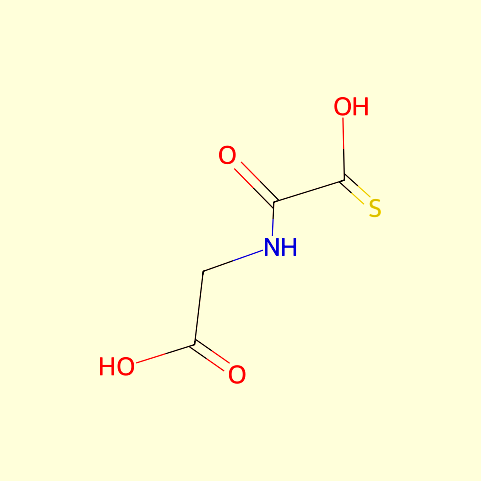 O=C(O)CNC(=O)C(O)=S